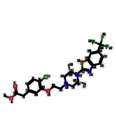 COC(=O)Cc1ccc(Cl)c(OCCN2C[C@@H](C)N(c3nc4ccc(C(F)(F)F)cc4s3)[C@@H](C)C2)c1